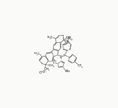 CC1=CCC(C)(C)c2cc3c(cc21)-c1cc2c(cc1[CH]3[Zr+2]([C]1=CC(C(C)(C)C)=CC1C)=[C](c1ccc(C(F)(F)F)cc1)c1ccc(C(F)(F)F)cc1)C(C)(C)CC=C2C.[Cl-].[Cl-]